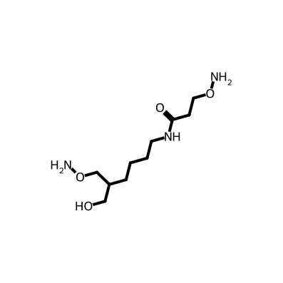 NOCCC(=O)NCCCCC(CO)CON